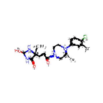 CCc1cc(N2CCN(C(=O)CC[C@@]3(C)NC(O)NC3=O)C[C@@H]2C)ccc1Cl